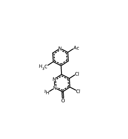 [2H]n1nc(-c2cc(C(C)=O)ncc2C)c(Cl)c(Cl)c1=O